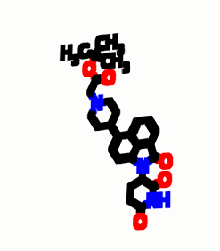 CC(C)(C)OC(=O)CN1CCC(c2ccc3c4c(cccc24)C(=O)N3C2CCC(=O)NC2=O)CC1